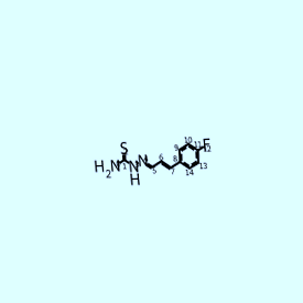 NC(=S)N/N=C/C=C/c1ccc(F)cc1